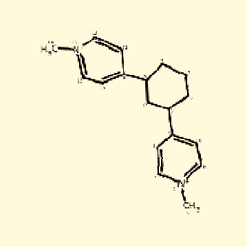 C[n+]1ccc(C2CCCC(c3cc[n+](C)cc3)C2)cc1